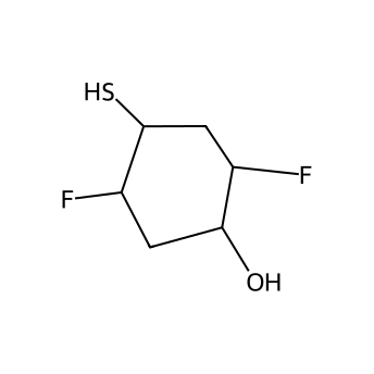 OC1CC(F)C(S)CC1F